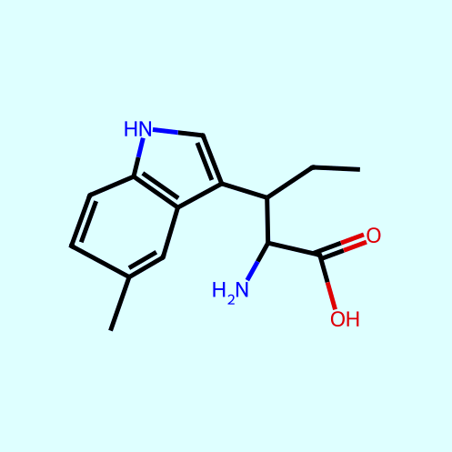 CCC(c1c[nH]c2ccc(C)cc12)C(N)C(=O)O